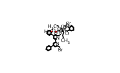 CCCCC(NC(=O)c1ccccc1[N+](=O)[O-])(C(=O)OCC)N(CC(=O)OC)Cc1cc(-c2ccccc2)cc(-c2cc(-c3ccccc3)cc(CBr)n2)n1